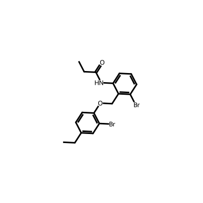 CCC(=O)Nc1cccc(Br)c1COc1ccc(CC)cc1Br